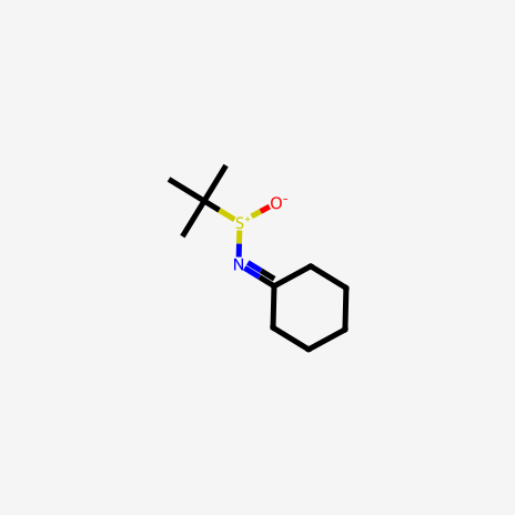 CC(C)(C)[S+]([O-])N=C1CCCCC1